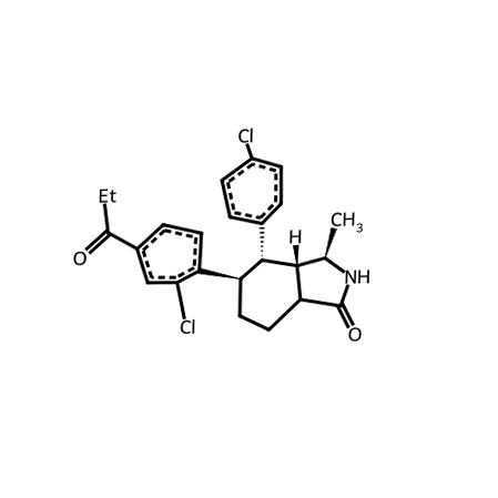 CCC(=O)c1ccc([C@@H]2CCC3C(=O)N[C@H](C)[C@H]3[C@H]2c2ccc(Cl)cc2)c(Cl)c1